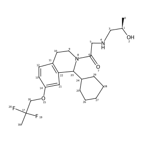 C[C@@H](O)CNCC(=O)N1CCc2ccc(OCC(C)(F)F)cc2C1C1CCCCC1